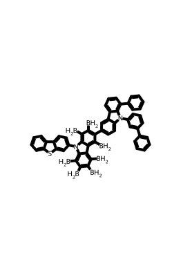 Bc1c(B)c(B)c2c(c1B)c1c(B)c(-c3ccc4c(c3)c3cccc(-c5ccccc5)c3n4-c3cccc(-c4ccccc4)c3)c(B)c(B)c1n2-c1ccc2c(c1)sc1ccccc12